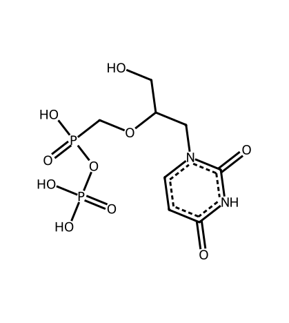 O=c1ccn(CC(CO)OCP(=O)(O)OP(=O)(O)O)c(=O)[nH]1